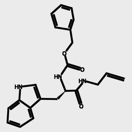 C=CCNC(=O)[C@H](Cc1c[nH]c2ccccc12)NC(=O)OCc1ccccc1